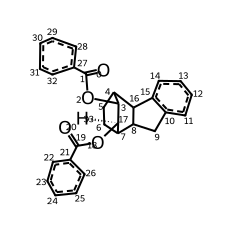 O=C(OC1C2CCC(C3Cc4ccccc4C32)[C@H]1OC(=O)c1ccccc1)c1ccccc1